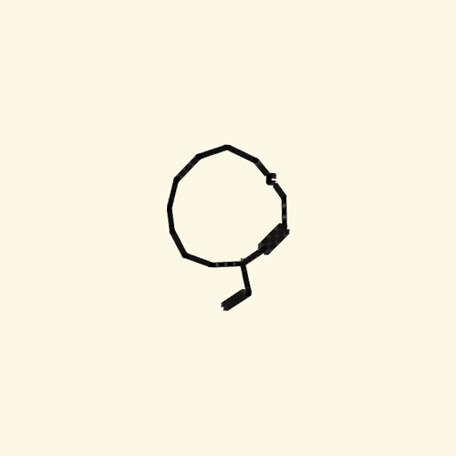 C=C[C]1C#CCCCCCCCCCC1